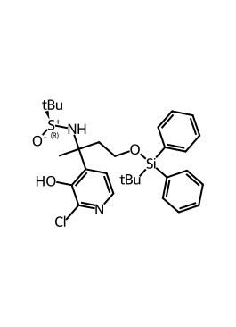 CC(CCO[Si](c1ccccc1)(c1ccccc1)C(C)(C)C)(N[S@@+]([O-])C(C)(C)C)c1ccnc(Cl)c1O